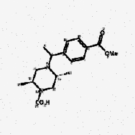 COC(=O)c1ccc(C(C)N2C[C@H](C)N(C(=O)O)C[C@H]2C)cc1